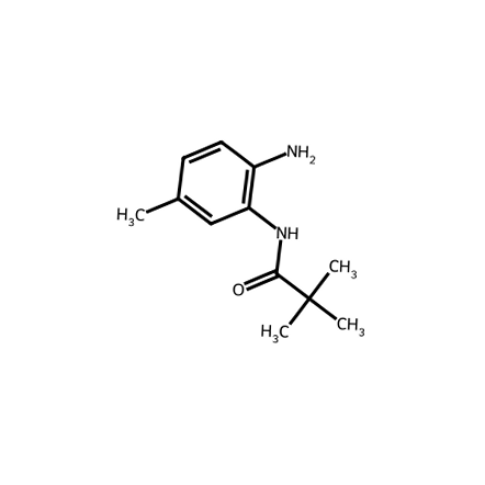 Cc1ccc(N)c(NC(=O)C(C)(C)C)c1